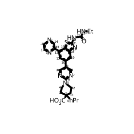 CCCC1(C(=O)O)CCN(c2ncc(-c3cc(-c4cnccn4)c4sc(NC(=O)NCC)nc4c3)cn2)CC1